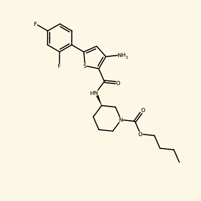 CCCCOC(=O)N1CCC[C@@H](NC(=O)c2sc(-c3ccc(F)cc3F)cc2N)C1